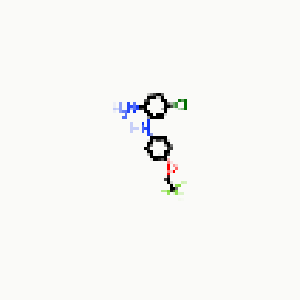 Nc1ccc(Cl)cc1Nc1ccc(OCC(F)(F)F)cc1